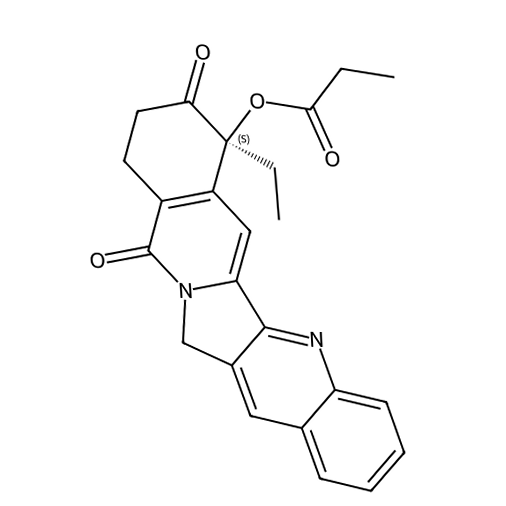 CCC(=O)O[C@]1(CC)C(=O)CCc2c1cc1n(c2=O)Cc2cc3ccccc3nc2-1